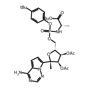 CC(=O)O[C@H]1[C@@H](OC(C)=O)[C@](C)(c2ccc3c(N)ncnn23)O[C@@H]1COP(=O)(N[C@@H](C)C(=O)OCC(C)C)Oc1ccc(C(C)(C)C)cc1